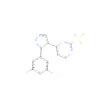 COc1cc(Cl)cc(-c2n[nH]cc2-c2ccnc(S(C)(=O)=O)n2)c1